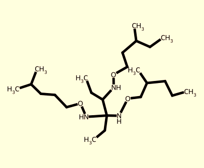 CCCC(C)CONC(CC)(NOCCCC(C)C)[C](CC)NOCCC(C)CC